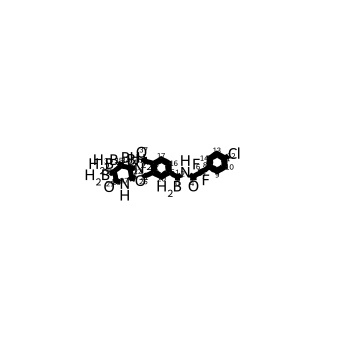 BC(NC(=O)C(F)(F)c1ccc(Cl)cc1)c1ccc2c(c1)CN(C1(B)C(=O)NC(=O)C(B)(B)C1(B)B)C2=O